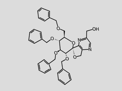 OCc1cnc2c(n1)[C@]1(OC2)O[C@H](COCc2ccccc2)[C@@H](OCc2ccccc2)[C@H](OCc2ccccc2)[C@H]1OCc1ccccc1